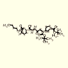 CCCCON1C(=O)N2C[C@H]1CC[C@H]2C(=O)NNC(=O)CN(C(=O)OC(C)(C)C)[C@@H]1CCN(C(=O)OC(C)(C)C)C1